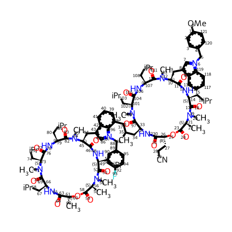 COc1ccc(Cn2cc(C[C@H]3C(=O)N[C@@H](CC(C)C)C(=O)N(C)[C@@H](C)C(=O)O[C@H](CCC#N)C(=O)N[C@@H](CC(C)Cc4cccc5c(C[C@H]6C(=O)N[C@@H](CC(C)C)C(=O)N(C)[C@@H](C)C(=O)O[C@H](C)C(=O)N[C@@H](CC(C)C)C(=O)N(C)[C@@H](CC(C)C)C(=O)N[C@@H](CC(C)C)C(=O)N6C)cn(Cc6ccc(F)cc6)c45)C(=O)N(C)[C@@H](CC(C)C)C(=O)N[C@@H](CC(C)C)C(=O)N3C)c3ccccc32)cc1